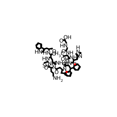 CC(O)C(NC(=O)CNCC(=O)O)C(=O)NC(Cc1c[nH]cn1)C(=O)NC(C(=O)N1CCCC1CC(=O)NC(CCCN)C(=O)NC(CS)NC(CCCN)C(=O)NC(C=O)Cc1c[nH]c2ccccc12)C(c1ccccc1)c1ccccc1